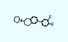 Fc1ccc(-c2ccc3c(c2)CCC(N2CCCC2)C3)cc1F